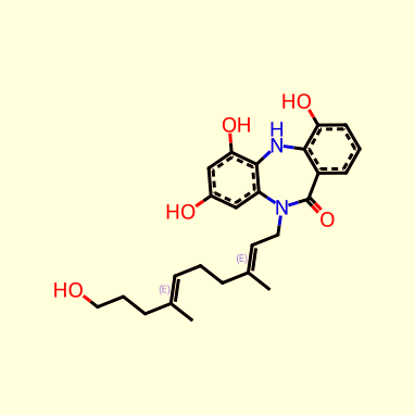 C/C(=C\CN1C(=O)c2cccc(O)c2Nc2c(O)cc(O)cc21)CC/C=C(\C)CCCO